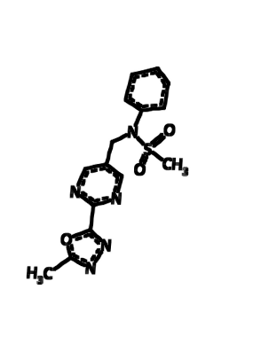 Cc1nnc(-c2ncc(CN(c3ccccc3)S(C)(=O)=O)cn2)o1